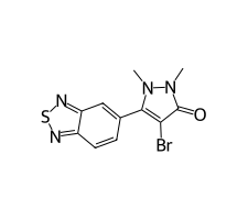 Cn1c(-c2ccc3nsnc3c2)c(Br)c(=O)n1C